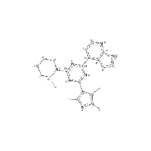 Cc1nn(C)c(C)c1-c1nc(-c2ccnc3[nH]ccc23)nc(N2CCOC[C@H]2C)n1